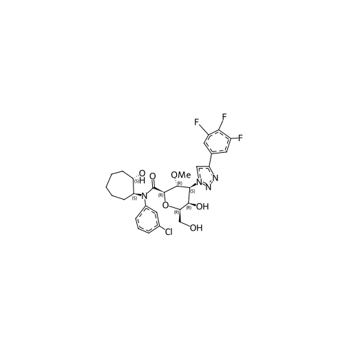 CO[C@@H]1[C@@H](n2cc(-c3cc(F)c(F)c(F)c3)nn2)[C@@H](O)[C@@H](CO)O[C@H]1C(=O)N(c1cccc(Cl)c1)[C@H]1CCCCC[C@@H]1O